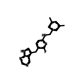 Cc1cc(C)cc(CNc2ccc(Cc3c[nH]c4ncncc34)c(F)n2)c1